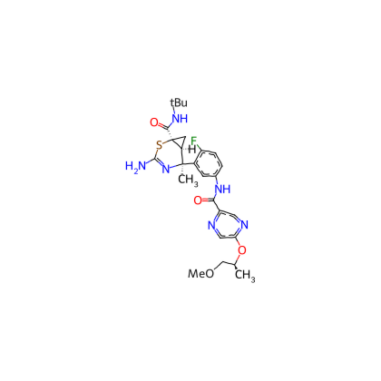 COC[C@H](C)Oc1cnc(C(=O)Nc2ccc(F)c([C@@]3(C)N=C(N)S[C@@]4(C(=O)NC(C)(C)C)C[C@H]43)c2)cn1